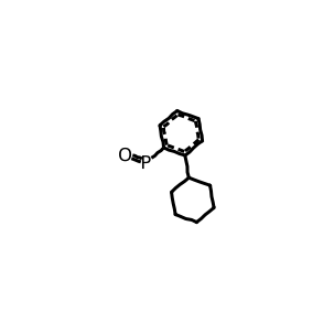 O=Pc1ccccc1C1CCCCC1